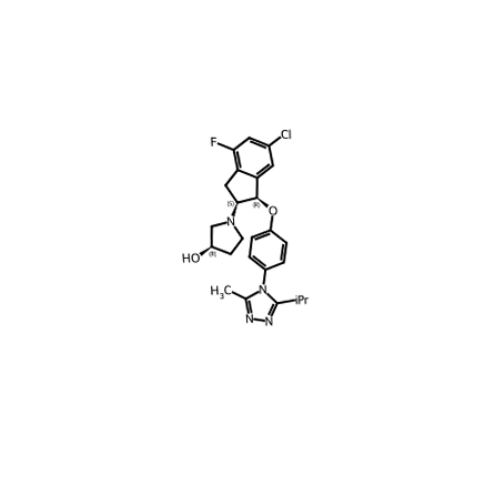 Cc1nnc(C(C)C)n1-c1ccc(O[C@@H]2c3cc(Cl)cc(F)c3C[C@@H]2N2CC[C@@H](O)C2)cc1